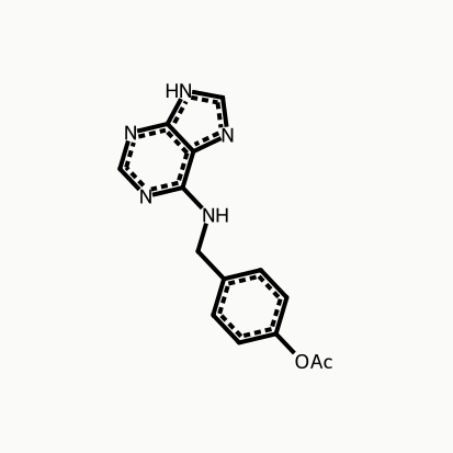 CC(=O)Oc1ccc(CNc2ncnc3[nH]cnc23)cc1